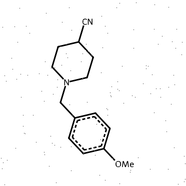 COc1ccc(CN2CCC(C#N)CC2)cc1